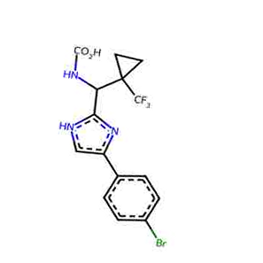 O=C(O)NC(c1nc(-c2ccc(Br)cc2)c[nH]1)C1(C(F)(F)F)CC1